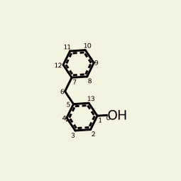 Oc1cc[c]c(Cc2ccccc2)c1